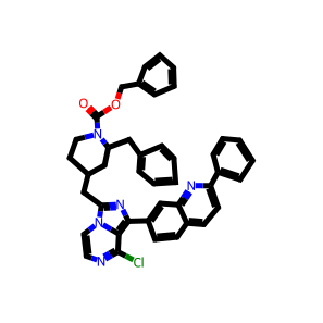 O=C(OCc1ccccc1)N1CCC(Cc2nc(-c3ccc4ccc(-c5ccccc5)nc4c3)c3c(Cl)nccn23)CC1Cc1ccccc1